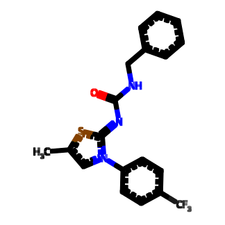 Cc1cn(-c2ccc(C(F)(F)F)cc2)c(=NC(=O)NCc2ccccc2)s1